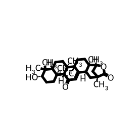 CC1(C)[C@@H](O)CC[C@]2(C)[C@H]3C(=O)C=C4[C@@H]5C[C@]6(C)C[C@@H](OC6=O)[C@]5(C)CC[C@@]4(C)[C@]3(C)CC[C@@H]12